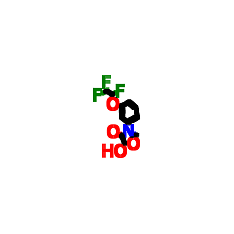 O=C1C(O)OCN1c1cccc(OC(F)C(F)F)c1